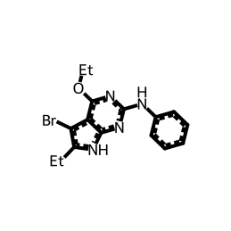 CCOc1nc(Nc2ccccc2)nc2[nH]c(CC)c(Br)c12